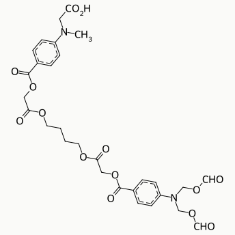 CN(CC(=O)O)c1ccc(C(=O)OCC(=O)OCCCCOC(=O)COC(=O)c2ccc(N(COC=O)COC=O)cc2)cc1